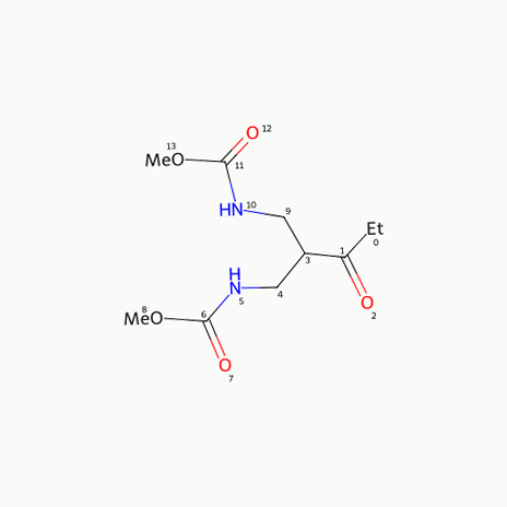 CCC(=O)C(CNC(=O)OC)CNC(=O)OC